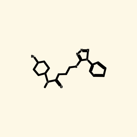 CN(C(=O)CCCSc1nnnn1-c1ccccc1)C1CCC(Br)CC1